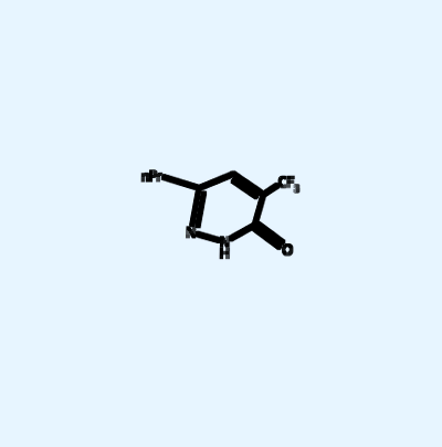 CCCc1cc(C(F)(F)F)c(=O)[nH]n1